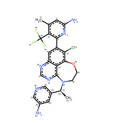 Cc1cc(N)nc(-c2cc3ncnc4c3c(c2Cl)OCCN4[C@@H](C)c2cncc(N)c2)c1C(F)(F)F